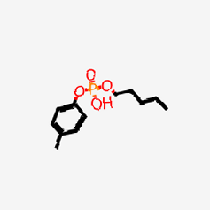 CCCCCOP(=O)(O)Oc1ccc(C)cc1